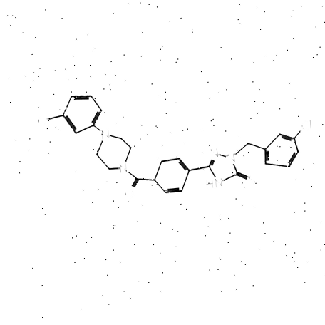 O=C(C1C=CC(c2nn(Cc3cccc(Cl)c3)c(=S)[nH]2)=CC1)N1CCN(c2cccc(Cl)c2)CC1